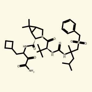 CC(C)CC(C)(CS(=O)(=O)Cc1ccccc1)NC(=O)N[C@H](C(=O)N1CC2C([C@H]1C(=O)NC(CC1CCC1)C(=O)C(N)=O)C2(C)C)C(C)(C)C